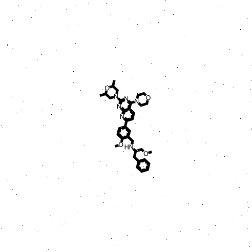 COCC(Cc1ccccc1)NCc1cc(-c2ccc3c(N4CCOCC4)nc(N4CC(C)OC(C)C4)nc3n2)ccc1OC